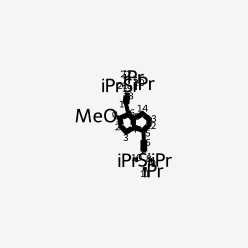 COc1ccc2c(C#C[Si](C(C)C)(C(C)C)C(C)C)cccc2c1C#C[Si](C(C)C)(C(C)C)C(C)C